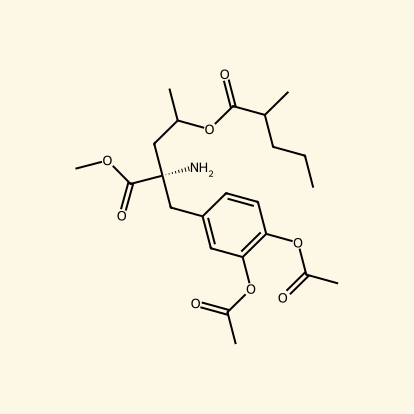 CCCC(C)C(=O)OC(C)C[C@@](N)(Cc1ccc(OC(C)=O)c(OC(C)=O)c1)C(=O)OC